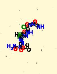 Cn1c(-c2cn(-c3ccc(N(CCC(N)=O)C(=O)OCC4c5ccccc5-c5ccccc54)cn3)nc2C(F)(F)F)cnc1C(=O)Nc1ccc(C(=O)N2CCN(C(=O)C3CCNCC3)CC2)c(Cl)c1